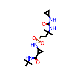 CC(C)(C)NC(=O)C1CC1NS(=O)(=O)CCC(C)(C)NC(=O)NC1CC1